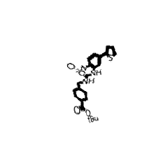 CC(C)(C)OC(=O)C1CCC(CNC(=O)Nc2cc(-c3cccs3)ccc2[N+](=O)[O-])CC1